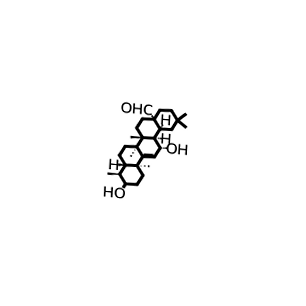 C[C@@H]1C(O)CC[C@]2(C)C3=C[C@@H](O)[C@@H]4[C@@H]5CC(C)(C)CC[C@]5(C=O)CC[C@@]4(C)[C@]3(C)CC[C@@H]12